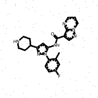 Cc1cc(F)ccc1-n1nc(C2CCNCC2)cc1NC(=O)c1cnn2cccnc12